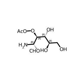 CC(=O)OO[C@@H]([C@H](O)[C@H](O)CO)[C@@H](N)C=O